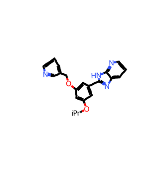 CC(C)Oc1cc(OCc2cccnc2)cc(-c2nc3cccnc3[nH]2)c1